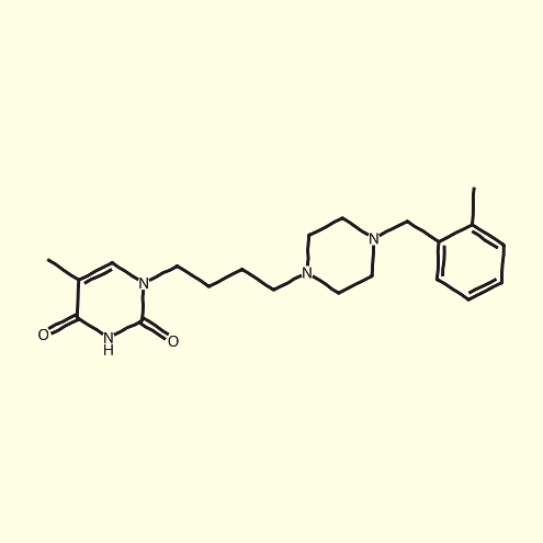 Cc1ccccc1CN1CCN(CCCCn2cc(C)c(=O)[nH]c2=O)CC1